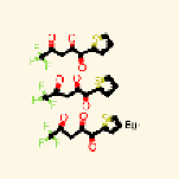 O=C(CC(=O)C(F)(F)F)C(=O)c1cccs1.O=C(CC(=O)C(F)(F)F)C(=O)c1cccs1.O=C(CC(=O)C(F)(F)F)C(=O)c1cccs1.[Eu]